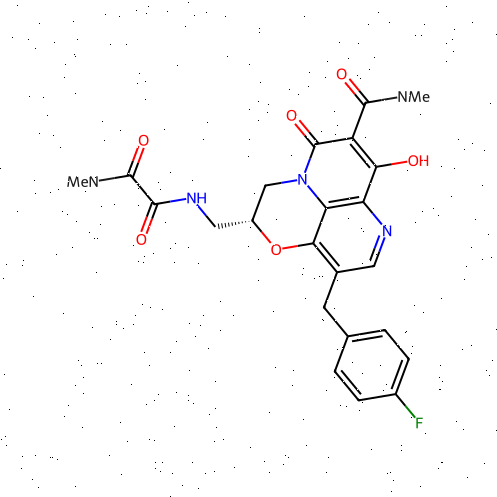 CNC(=O)C(=O)NC[C@@H]1Cn2c(=O)c(C(=O)NC)c(O)c3ncc(Cc4ccc(F)cc4)c(c32)O1